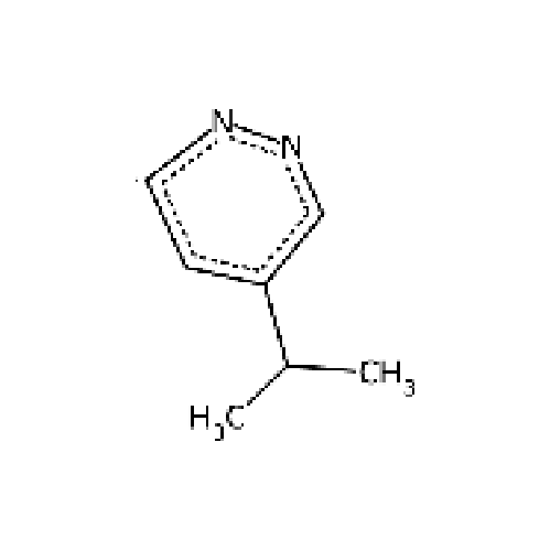 CC(C)c1c[c]nnc1